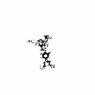 Cc1cc(N(CCCl)CCCl)ccc1OC[C@@H](CC(=O)O)NC(=O)OC(C)(C)C